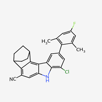 Cc1cc(F)cc(C)c1-c1cc(Cl)c2[nH]c3cc(C#N)c4c(c3c2c1)C1CCC4CC1